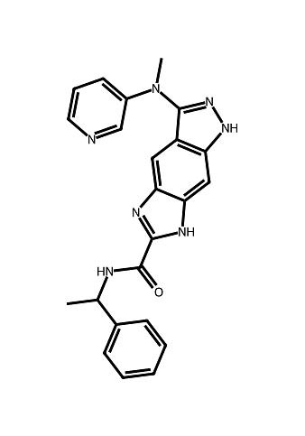 CC(NC(=O)c1nc2cc3c(N(C)c4cccnc4)n[nH]c3cc2[nH]1)c1ccccc1